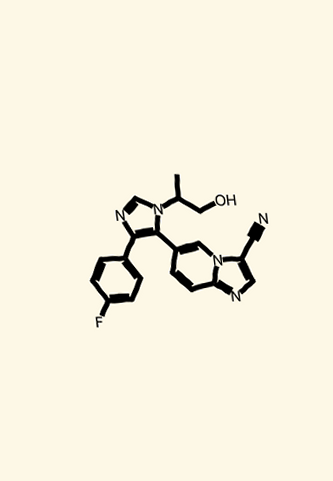 CC(CO)n1cnc(-c2ccc(F)cc2)c1-c1ccc2ncc(C#N)n2c1